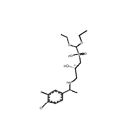 CCOC(OCC)P(=O)(O)C[C@@H](O)CNC(C)c1ccc(Cl)c(I)c1